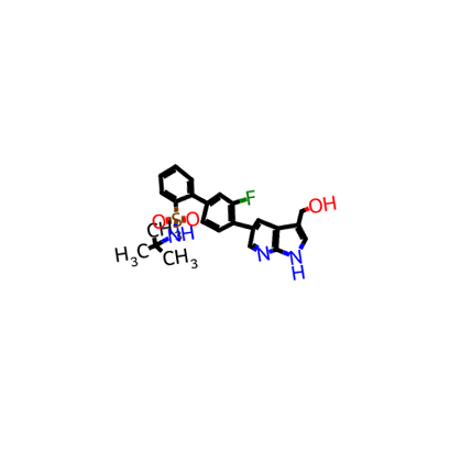 CC(C)(C)NS(=O)(=O)c1ccccc1-c1ccc(-c2cnc3[nH]cc(CO)c3c2)c(F)c1